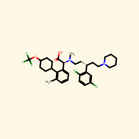 Cc1cccc([C@@H](C(=O)O)N(C)CC[C@H](CCN2CCCCC2)c2cc(Cl)ccc2F)c1C1CCC(OC(F)(F)F)CC1